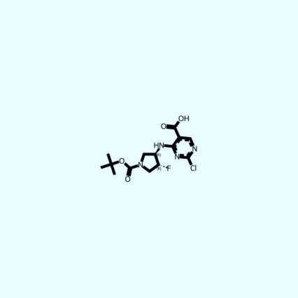 CC(C)(C)OC(=O)N1C[C@@H](F)[C@H](Nc2nc(Cl)ncc2C(=O)O)C1